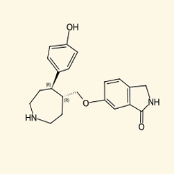 O=C1NCc2ccc(OC[C@@H]3CCNCC[C@H]3c3ccc(O)cc3)cc21